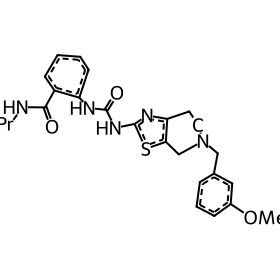 COc1cccc(CN2CCc3nc(NC(=O)Nc4ccccc4C(=O)NC(C)C)sc3C2)c1